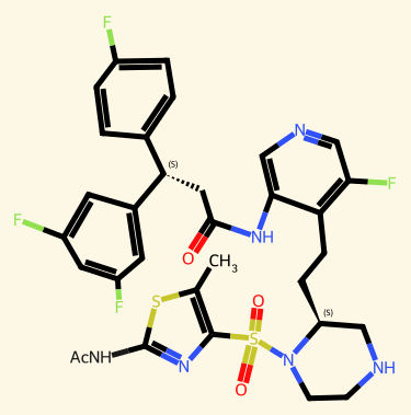 CC(=O)Nc1nc(S(=O)(=O)N2CCNC[C@@H]2CCc2c(F)cncc2NC(=O)C[C@@H](c2ccc(F)cc2)c2cc(F)cc(F)c2)c(C)s1